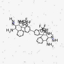 [H]/N=N/C1=C(N)c2ccccc2C(c2ccc(-c3ccc(C4(S(=O)(=O)O)c5ccccc5C(N)=C(/N=N/[H])C4N)c(C(F)(F)F)c3)cc2C(F)(F)F)(S(=O)(=O)O)C1N